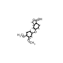 COc1ccc(Oc2ccc3c(c2)COB3O)cc1OC